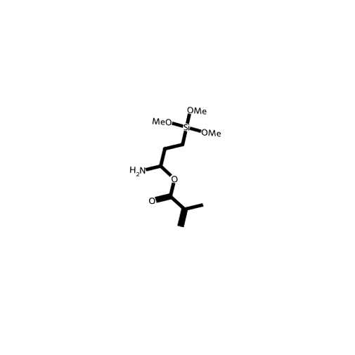 C=C(C)C(=O)OC(N)CC[Si](OC)(OC)OC